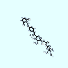 C[C@@H](NC(=O)[C@@H](N)Cc1ccc(OCc2c(Cl)cccc2Cl)cc1)C(=O)NCC(=O)OC(=O)OC(C)(C)C